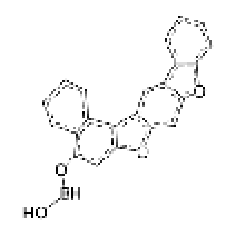 OBOc1cc2oc3cc4oc5ccccc5c4cc3c2c2ccccc12